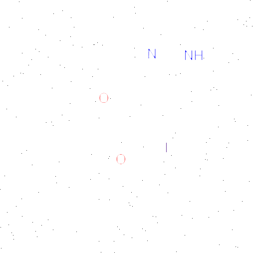 Ic1c[nH]nc1OC1CCCCO1